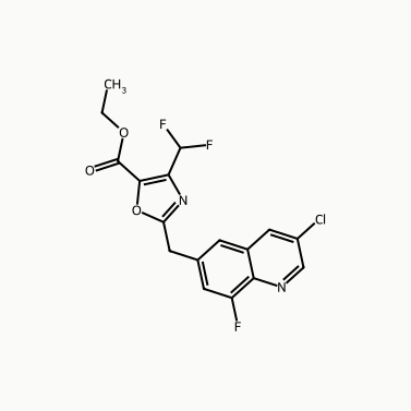 CCOC(=O)c1oc(Cc2cc(F)c3ncc(Cl)cc3c2)nc1C(F)F